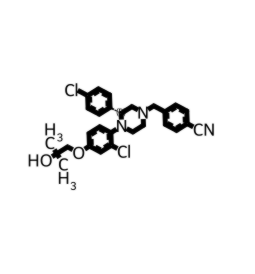 CC(C)(O)COc1ccc(N2CCN(Cc3ccc(C#N)cc3)C[C@H]2c2ccc(Cl)cc2)c(Cl)c1